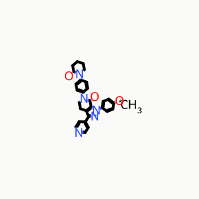 COc1ccc(-n2nc(-c3ccncc3)c3c2C(=O)N(c2ccc(N4CCCCC4=O)cc2)CC3)cc1